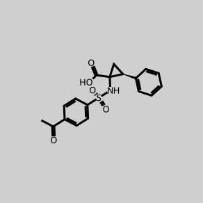 CC(=O)c1ccc(S(=O)(=O)NC2(C(=O)O)C[C@H]2c2ccccc2)cc1